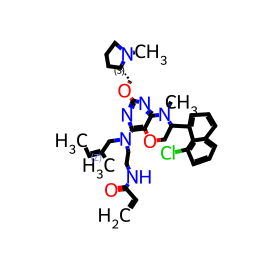 C=CC(=O)NCCN(C/C(C)=C\C)c1nc(OC[C@@H]2CCCN2C)nc2c1OCC(c1cccc3cccc(Cl)c13)N2C